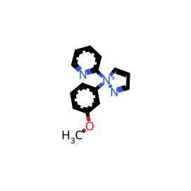 COc1cccc([N+]2(c3ccccn3)C=CC=N2)c1